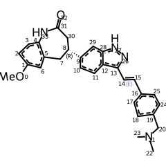 COc1ccc2c(c1)C[C@@H](c1ccc3c(/C=C/c4ccc(CN(C)C)cc4)n[nH]c3c1)CC(=O)N2